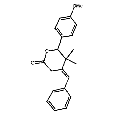 COc1ccc(C2OC(=O)C/C(=C\c3ccccc3)C2(C)C)cc1